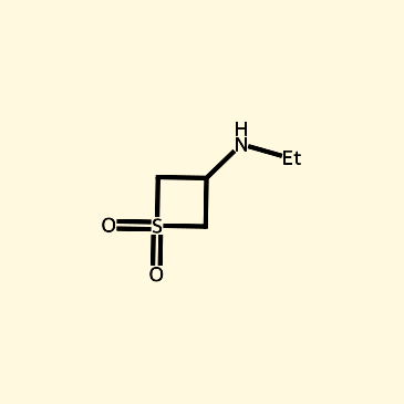 [CH2]CNC1CS(=O)(=O)C1